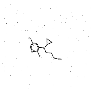 CC(C)(C)OCCN(c1cc(Br)cnc1F)C1CC1